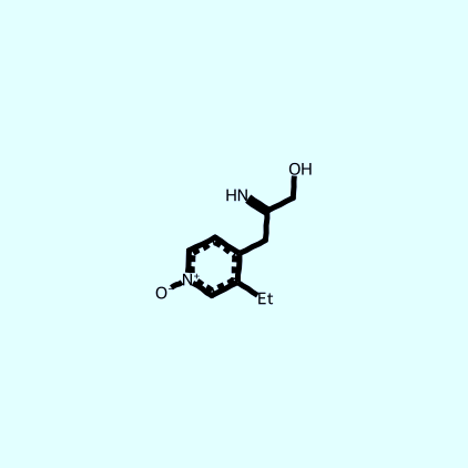 CCc1c[n+]([O-])ccc1CC(=N)CO